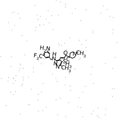 Cc1nnc(NCc2cc(N)cc(C(F)(F)F)c2)c2cc(C(=O)C3(C)CCN(C)CC3)sc12